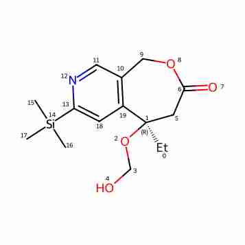 CC[C@@]1(OCO)CC(=O)OCc2cnc([Si](C)(C)C)cc21